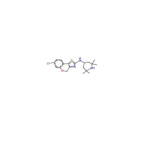 CC1(C)CC(Nc2nc3c(s2)-c2ccc(Cl)cc2OC3)CC(C)(C)N1